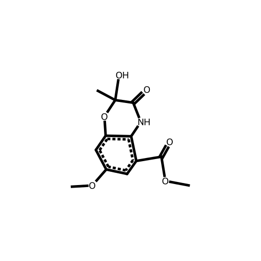 COC(=O)c1cc(OC)cc2c1NC(=O)C(C)(O)O2